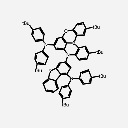 CC(C)(C)c1ccc(N(c2ccc(C(C)(C)C)cc2)c2cc3c4c(c2)N(c2cc(N(c5ccc(C(C)(C)C)cc5)c5ccc(C(C)(C)C)cc5)c5c(c2)sc2ccccc25)c2ccc(C(C)(C)C)cc2B4c2cc(C(C)(C)C)ccc2O3)cc1